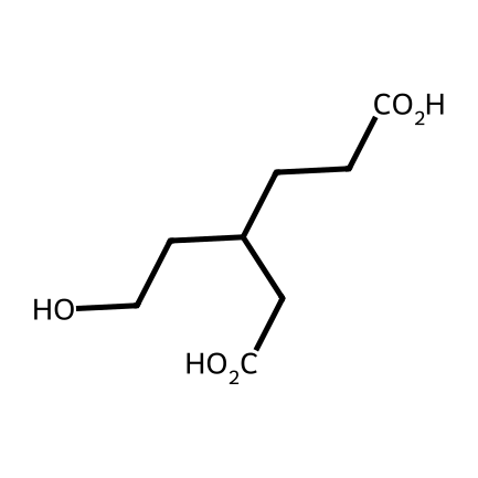 O=C(O)CCC(CCO)CC(=O)O